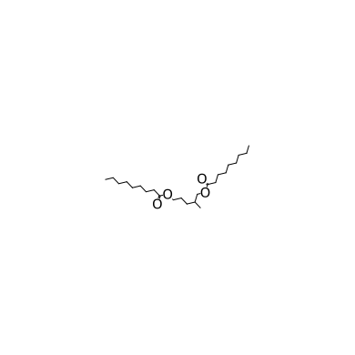 CCCCCCCCC(=O)OCCCC(C)COC(=O)CCCCCCCC